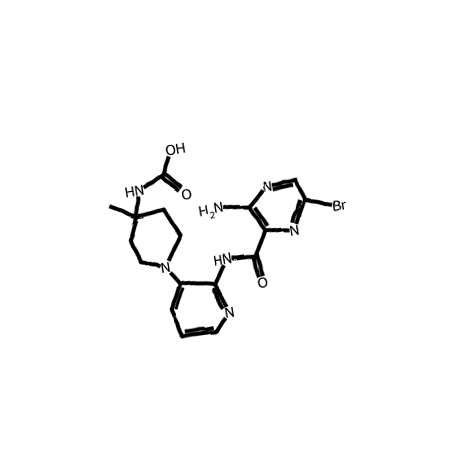 CC1(NC(=O)O)CCN(c2cccnc2NC(=O)c2nc(Br)cnc2N)CC1